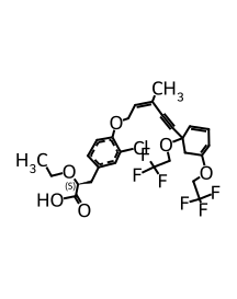 CCO[C@@H](Cc1ccc(OCC=C(C)C#CC2(OCC(F)(F)F)C=CC=C(OCC(F)(F)F)C2)c(Cl)c1)C(=O)O